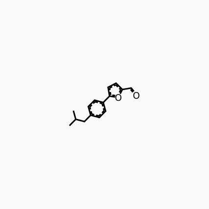 CC(C)Cc1ccc(-c2ccc(C=O)o2)cc1